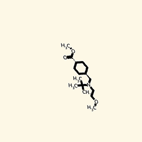 COCCN(C[C@H]1CC[C@H](C(=O)OC)CC1)C(C)(C)C